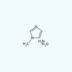 Cn1ccnc1.N.O